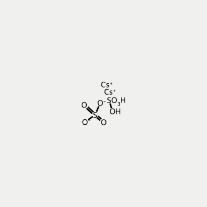 O=S(=O)(O)O.O=S(=O)([O-])[O-].[Cs+].[Cs+]